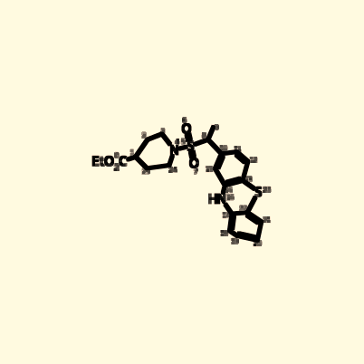 CCOC(=O)C1CCN(S(=O)(=O)C(C)c2ccc3c(c2)Nc2ccccc2S3)CC1